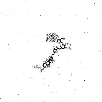 C=C1C[C@H](CC[C@@]23C[C@H]4OC5[C@@H](O[C@H]6CC[C@H](CC(=O)SCC)O[C@@H]6[C@@H]5O2)C4O3)OC1CCC1C[C@@H](C)C(=C)[C@@H](CC2O[C@H](C[C@@H](CC)O[Si](C)(C)C(C)(C)C)[C@H](C)[C@H]2CBr)O1